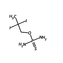 CC(I)(I)COP(N)(N)=S